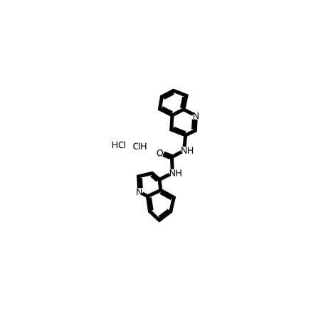 Cl.Cl.O=C(Nc1cnc2ccccc2c1)Nc1ccnc2ccccc12